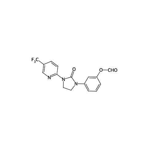 O=COc1cccc(N2CCN(c3ccc(C(F)(F)F)cn3)C2=O)c1